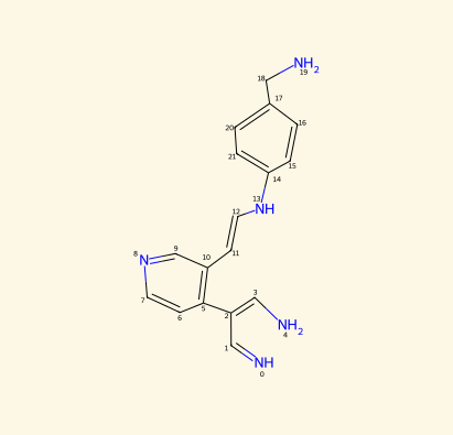 N=C/C(=C\N)c1ccncc1/C=C/Nc1ccc(CN)cc1